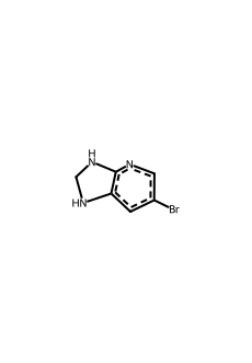 Brc1cnc2c(c1)NCN2